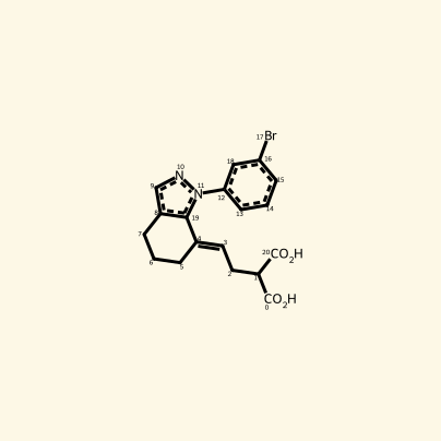 O=C(O)C(CC=C1CCCc2cnn(-c3cccc(Br)c3)c21)C(=O)O